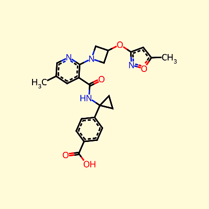 Cc1cnc(N2CC(Oc3cc(C)on3)C2)c(C(=O)NC2(c3ccc(C(=O)O)cc3)CC2)c1